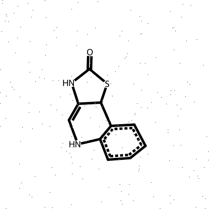 O=C1NC2=CNc3ccccc3C2S1